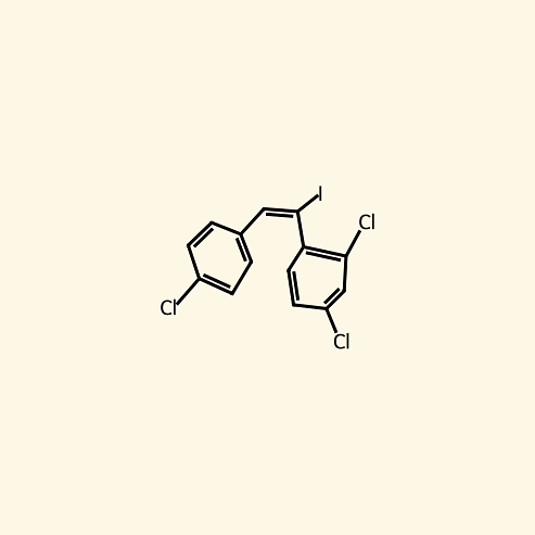 Clc1ccc(/C=C(/I)c2ccc(Cl)cc2Cl)cc1